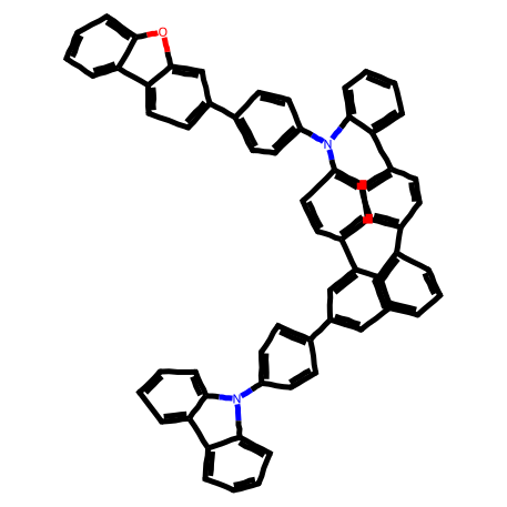 c1ccc(-c2ccc(-c3ccccc3N(c3ccc(-c4cccc(-c5ccc(-n6c7ccccc7c7ccccc76)cc5)c4)cc3)c3ccc(-c4ccc5c(c4)oc4ccccc45)cc3)cc2)cc1